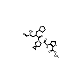 COC(=O)c1sccc1NC(=O)[C@@H]1CC2(CC2)CN1C(=O)C(CC1CCCC1)CN(O)C=O